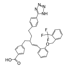 O=C(O)c1ccc(CC(C=Cc2ccccc2OCc2ccccc2C(F)(F)F)CCc2ccc(-c3nnn[nH]3)cc2)cc1